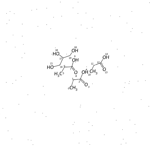 CCC(=O)O.CCC(=O)O.CCC(=O)O.OCC(O)CO